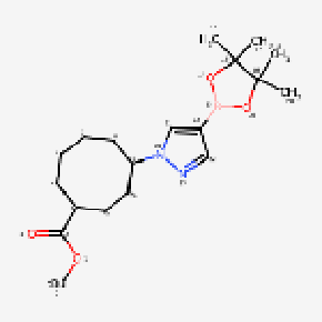 CC(C)(C)OC(=O)C1CCCCC(n2cc(B3OC(C)(C)C(C)(C)O3)cn2)CC1